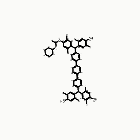 Cc1cc(C(c2ccc(-c3ccc(-c4ccc(C(c5cc(C)c(O)cc5C)c5cc(C)c(OC(C)OC6CCCCC6)cc5C)cc4)cc3)cc2)c2cc(C)c(O)cc2C)c(C)cc1O